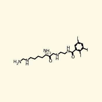 NCNCCCC[C@H](N)C(=O)CNCCNC(=O)c1cc(I)cc(I)c1I